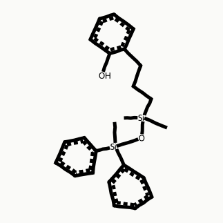 C[Si](C)(CCCc1ccccc1O)O[Si](C)(c1ccccc1)c1ccccc1